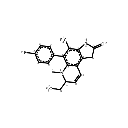 CN1c2c(c3c(c(C(F)(F)F)c2-c2ccc(F)cc2)NC(=O)C3)C=CC1CC(F)(F)F